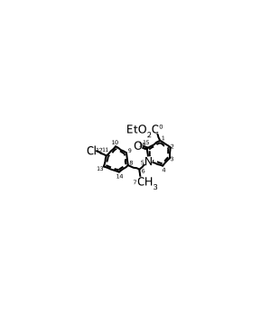 CCOC(=O)c1cccn(C(C)c2ccc(Cl)cc2)c1=O